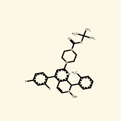 Cc1ccccc1C1c2nc(N3CCN(C(=O)OC(C)(C)C)CC3)cc(-c3ccc(F)cc3F)c2C=CN1O